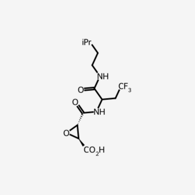 CC(C)CCNC(=O)C(CC(F)(F)F)NC(=O)[C@H]1O[C@@H]1C(=O)O